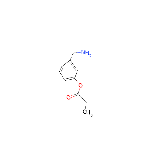 CCC(=O)Oc1cccc(CN)c1